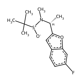 C[C@H](c1cc2ccc(F)cc2o1)N(C)[S+]([O-])C(C)(C)C